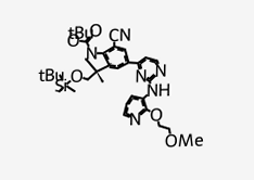 COCCOc1ncccc1Nc1nccc(-c2cc(C#N)c3c(c2)[C@](C)(CO[Si](C)(C)C(C)(C)C)CN3C(=O)OC(C)(C)C)n1